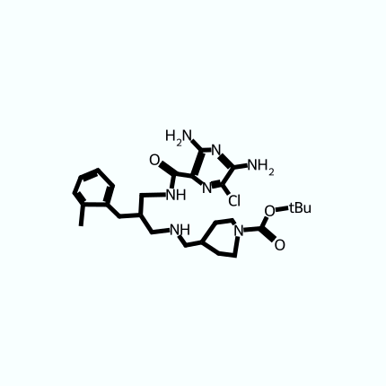 Cc1ccccc1CC(CNCC1CCN(C(=O)OC(C)(C)C)CC1)CNC(=O)c1nc(Cl)c(N)nc1N